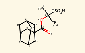 CCCC(OC(=O)C12CC3CC(CC(C3)C1)C2)(C(F)(F)F)S(=O)(=O)O